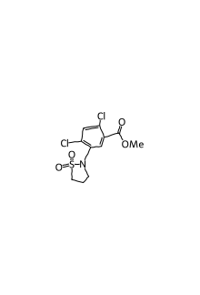 COC(=O)c1cc(N2CCCS2(=O)=O)c(Cl)cc1Cl